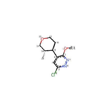 CCOc1nnc(Cl)cc1C1CCOC[C@H]1C